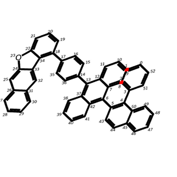 c1ccc(-c2c(-c3c4ccccc4c(-c4ccc(-c5cccc6oc7cc8ccccc8cc7c56)cc4)c4ccccc34)ccc3ccccc23)cc1